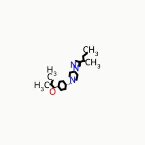 CCCC(C)c1cnn(C2CCN(C[C@H]3CC[C@H](C(=O)C(C)CC)CC3)CC2)c1